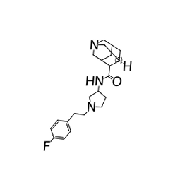 O=C(NC1CCN(CCc2ccc(F)cc2)C1)C1C2CC3C[C@@H]1CN(C3)C2